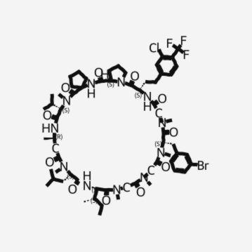 CC[C@H](C)[C@@H]1NC(=O)[C@H](CC(C)C)N(C)C(=O)C[C@@H](C)NC(=O)[C@H](C(C)C)N(C)C(=O)C2(CCCC2)NC(=O)[C@@H]2CCCN2C(=O)[C@H](CCc2ccc(C(F)(F)F)c(Cl)c2)NC(=O)CN(C)C(=O)[C@H](Cc2cccc(Br)c2)N(C)C(=O)CN(C)C(=O)CN(C)C1=O